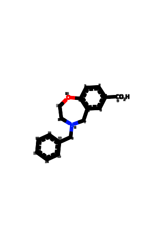 O=C(O)c1ccc2c(c1)CN(Cc1ccccc1)CCO2